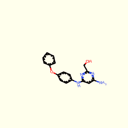 Nc1cc(Nc2ccc(Oc3ccccc3)cc2)nc(CO)n1